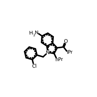 CCCc1c(C(=O)C(C)C)c2ccc(N)cc2n1Cc1ccccc1Cl